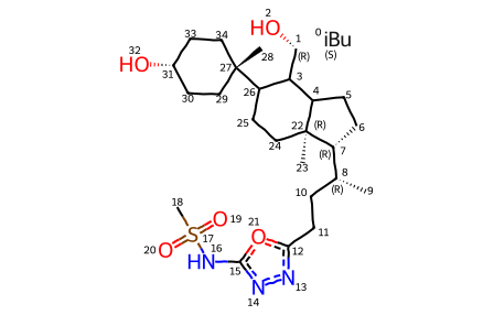 CC[C@H](C)[C@@H](O)C1C2CC[C@H]([C@H](C)CCc3nnc(NS(C)(=O)=O)o3)[C@@]2(C)CCC1[C@]1(C)CC[C@H](O)CC1